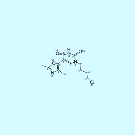 Cc1nc(C)c(-c2cn(CCCCCl)c(=O)[nH]c2=O)o1